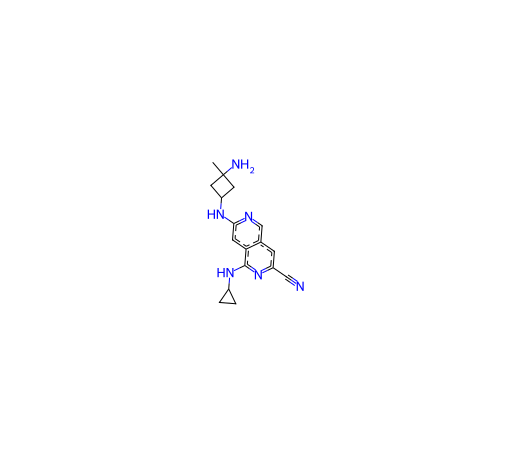 CC1(N)CC(Nc2cc3c(NC4CC4)nc(C#N)cc3cn2)C1